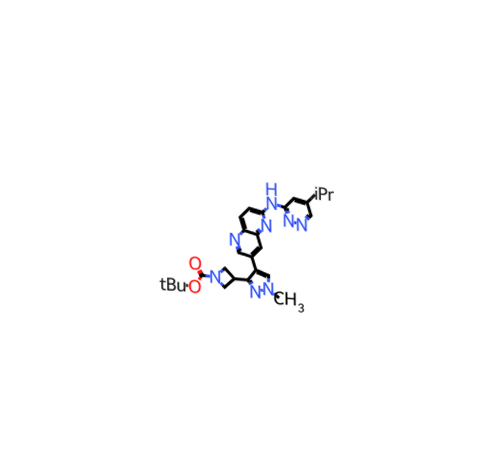 CC(C)c1cnnc(Nc2ccc3ncc(-c4cn(C)nc4C4CN(C(=O)OC(C)(C)C)C4)cc3n2)c1